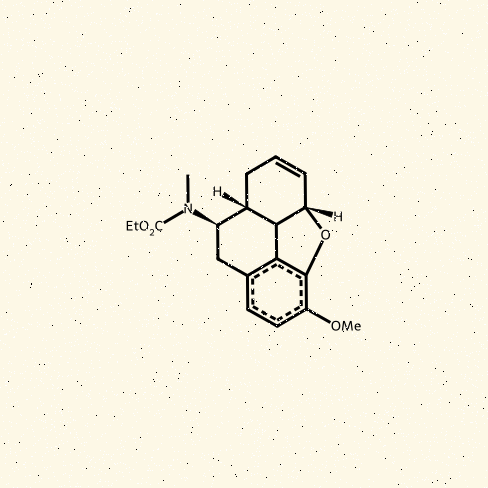 CCOC(=O)N(C)[C@@H]1Cc2ccc(OC)c3c2C2[C@H](C=CC[C@H]21)O3